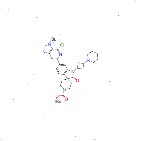 CC[C@H](C)n1cnc2cc(-c3ccc4c(c3)N(C3CC(N5CCCCC5)C3)C(=O)C43CCN(C(=O)OC(C)(C)C)CC3)nc(Cl)c21